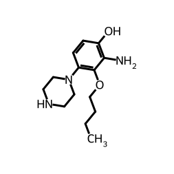 CCCCOc1c(N2CCNCC2)ccc(O)c1N